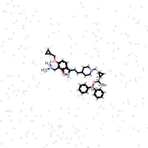 CN(C)Cc1c(OCC2CC2)ccc2c(CCC3CCN(C[C@@H]4C[C@H]4C(O[SiH](c4ccccc4)c4ccccc4)C(C)(C)C)CC3)noc12